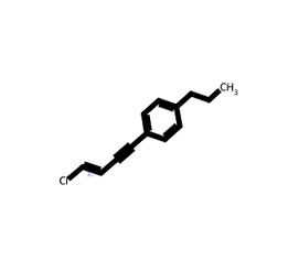 CCCc1ccc(C#C/C=C/Cl)cc1